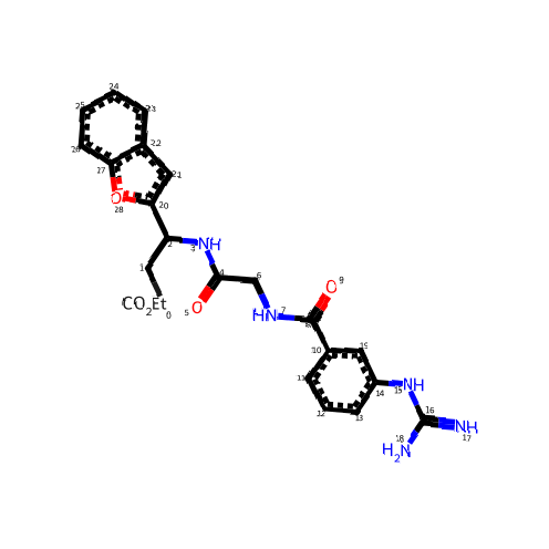 CCOC(=O)CC(NC(=O)CNC(=O)c1cccc(NC(=N)N)c1)c1cc2ccccc2o1